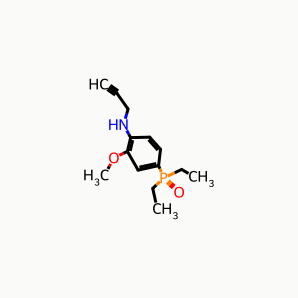 C#CCNc1ccc(P(=O)(CC)CC)cc1OC